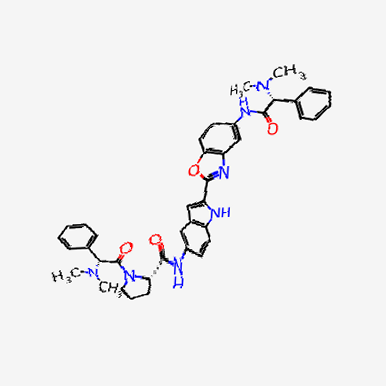 CN(C)[C@@H](C(=O)Nc1ccc2oc(-c3cc4cc(NC(=O)[C@@H]5CCCN5C(=O)[C@@H](c5ccccc5)N(C)C)ccc4[nH]3)nc2c1)c1ccccc1